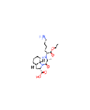 CCOC(=O)[C@H](CCCCN)N[C@@H](C)C(=O)N1[C@H](C(=O)O)C[C@H]2CCCC[C@@H]21